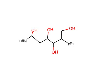 CCCCC(O)CC(O)C(O)C(CO)CCC